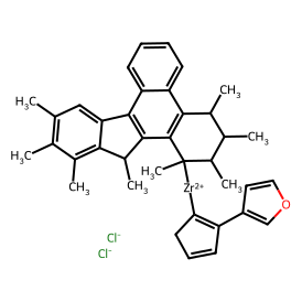 Cc1cc2c(c(C)c1C)C(C)c1c3c(c4ccccc4c1-2)C(C)C(C)C(C)[C]3(C)[Zr+2][C]1=C(c2ccoc2)C=CC1.[Cl-].[Cl-]